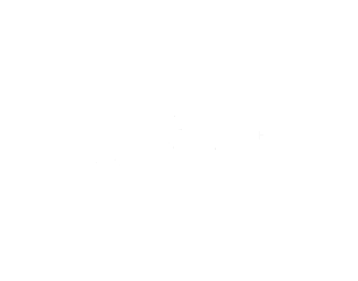 CCc1ccc(C(=O)OCCS(=O)(=O)O)cc1